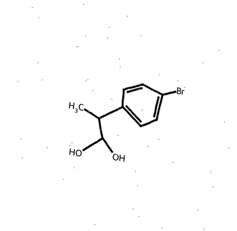 CC(c1ccc(Br)cc1)C(O)O